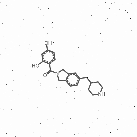 O=C(c1ccc(O)cc1O)N1Cc2ccc(CC3CCNCC3)cc2C1